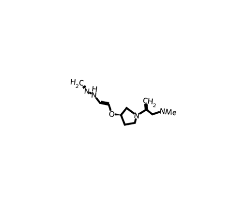 C=NN/C=C/O[C@@H]1CCN(C(=C)CNC)C1